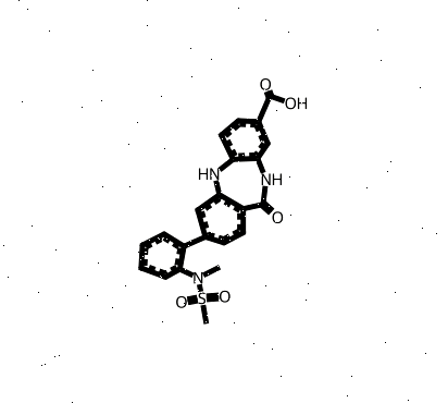 CN(c1ccccc1-c1ccc2c(c1)Nc1ccc(C(=O)O)cc1NC2=O)S(C)(=O)=O